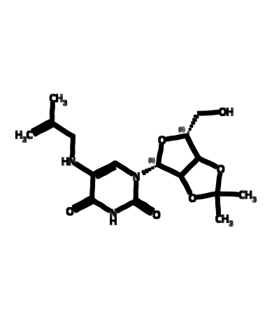 C=C(C)CNc1cn([C@@H]2O[C@H](CO)C3OC(C)(C)OC32)c(=O)[nH]c1=O